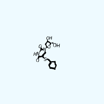 O=c1[nH]c(=O)n([C@@H]2C[C@@H](O)[C@H](CO)O2)cc1SCc1ccccc1